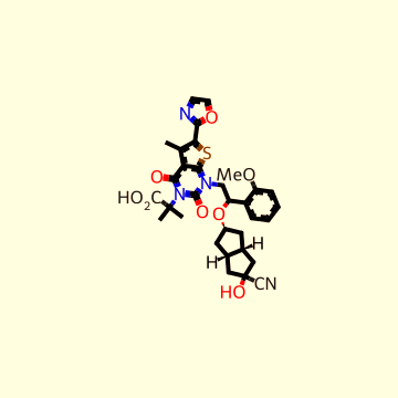 COc1ccccc1C(Cn1c(=O)n(C(C)(C)C(=O)O)c(=O)c2c(C)c(-c3ncco3)sc21)O[C@@H]1C[C@@H]2CC(O)(C#N)C[C@@H]2C1